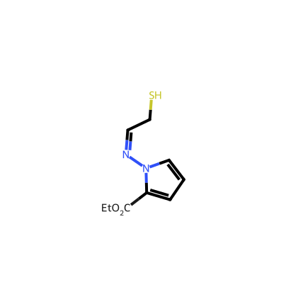 CCOC(=O)c1cccn1/N=C\CS